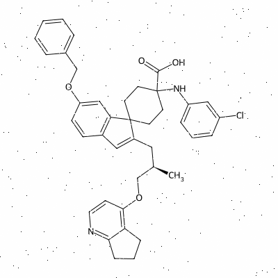 C[C@@H](COc1ccnc2c1CCC2)CC1=Cc2ccc(OCc3ccccc3)cc2C12CCC(Nc1cccc(Cl)c1)(C(=O)O)CC2